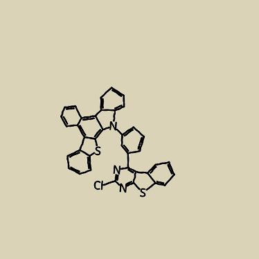 Clc1nc(-c2cccc(-n3c4ccccc4c4c5ccccc5c5c6ccccc6sc5c43)c2)c2c(n1)sc1ccccc12